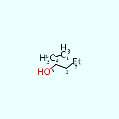 CC.CCCCO